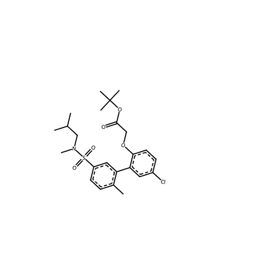 Cc1ccc(S(=O)(=O)N(C)CC(C)C)cc1-c1cc(Cl)ccc1OCC(=O)OC(C)(C)C